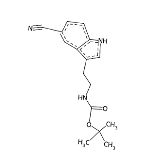 CC(C)(C)OC(=O)NCCc1c[nH]c2ccc(C#N)cc12